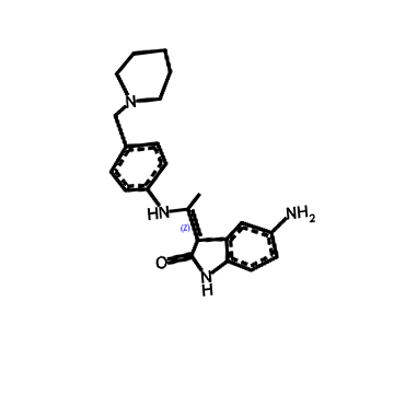 C/C(Nc1ccc(CN2CCCCC2)cc1)=C1/C(=O)Nc2ccc(N)cc21